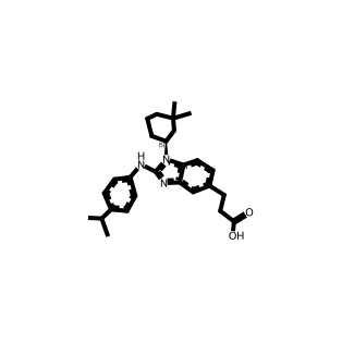 CC(C)c1ccc(Nc2nc3cc(CCC(=O)O)ccc3n2[C@H]2CCCC(C)(C)C2)cc1